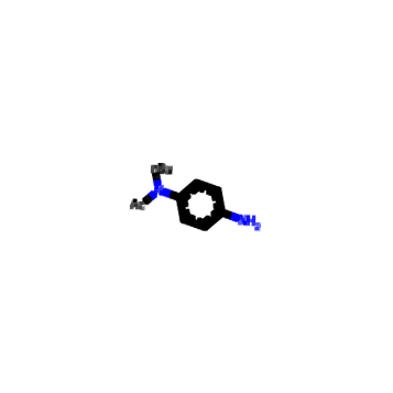 CCCCN(C(C)=O)c1ccc(N)cc1